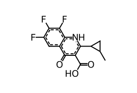 CC1CC1c1[nH]c2c(F)c(F)c(F)cc2c(=O)c1C(=O)O